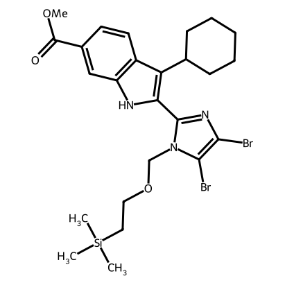 COC(=O)c1ccc2c(C3CCCCC3)c(-c3nc(Br)c(Br)n3COCC[Si](C)(C)C)[nH]c2c1